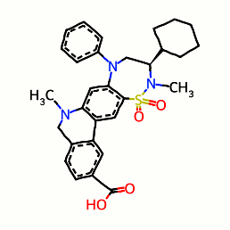 CN1Cc2ccc(C(=O)O)cc2-c2cc3c(cc21)N(c1ccccc1)C[C@@H](C1CCCCC1)N(C)S3(=O)=O